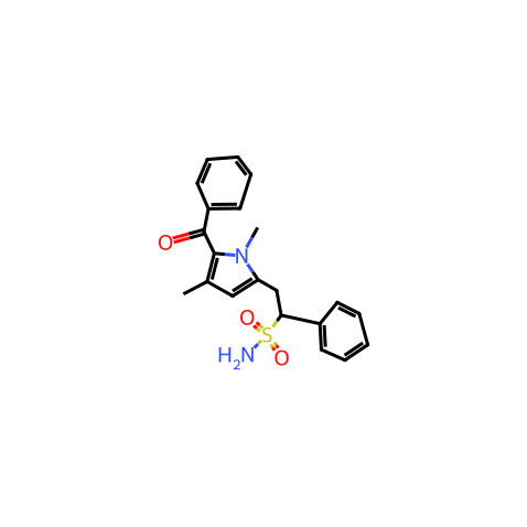 Cc1cc(CC(c2ccccc2)S(N)(=O)=O)n(C)c1C(=O)c1ccccc1